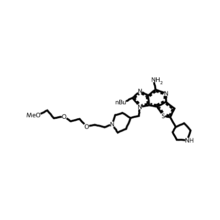 CCCCc1nc2c(N)nc3cc(C4CCNCC4)sc3c2n1CC1CCN(CCOCCOCCOC)CC1